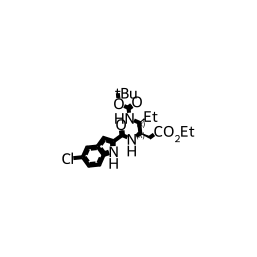 CCOC(=O)C[C@@H](NC(=O)c1cc2cc(Cl)ccc2[nH]1)[C@@H](CC)NC(=O)OC(C)(C)C